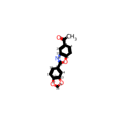 CC(=O)c1ccc2oc(-c3ccc4c(c3)OCO4)nc2c1